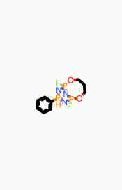 F[P@]12=N[PH](c3ccccc3)=N[P@](F)(=N1)OCCCO2